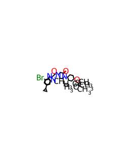 Cn1c(C(=O)N2CCN(C3CCC(O[Si](C)(C)C(C)(C)C)CC3)C(=O)C2)nc2c(Br)cc(C3CC3)cc21